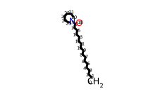 C=CCCCCCCCCCCCCCCCC(=O)N1CCCCCC1